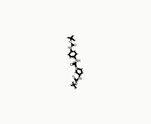 CC(C)(C)OC(=O)NC1CCC(NC(=O)N2CCC(NC(=O)OC(C)(C)C)C2)CC1